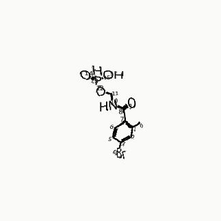 Cc1cc(Br)ccc1C(=O)NCO[PH](=O)O